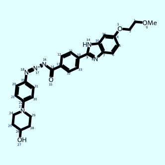 COCCOc1ccc2nc(-c3ccc(C(=O)N=[N+]=Nc4ccc(N5CCC(O)CC5)cc4)cc3)[nH]c2c1